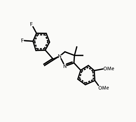 C=C(c1ccc(F)c(F)c1)N1CC(C)(C)C(c2ccc(OC)c(OC)c2)=N1